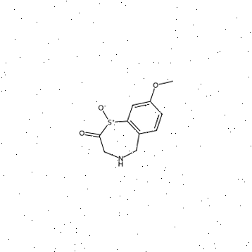 COc1ccc2c(c1)[S+]([O-])C(=O)CNC2